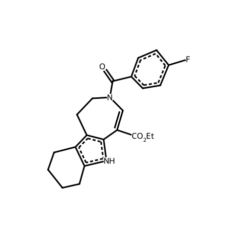 CCOC(=O)C1=CN(C(=O)c2ccc(F)cc2)CCc2c1[nH]c1c2CCCC1